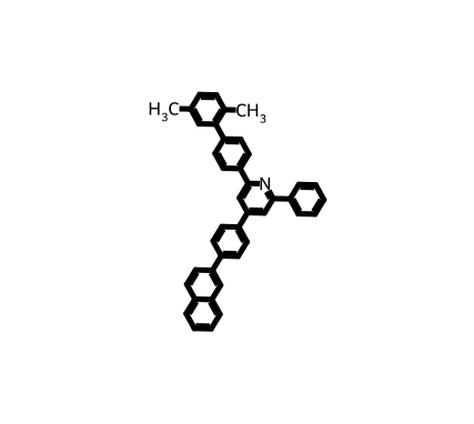 Cc1ccc(C)c(-c2ccc(-c3cc(-c4ccc(-c5ccc6ccccc6c5)cc4)cc(-c4ccccc4)n3)cc2)c1